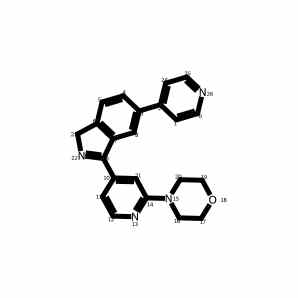 c1cc(-c2ccc3c(c2)C(c2ccnc(N4CCOCC4)c2)=NC3)ccn1